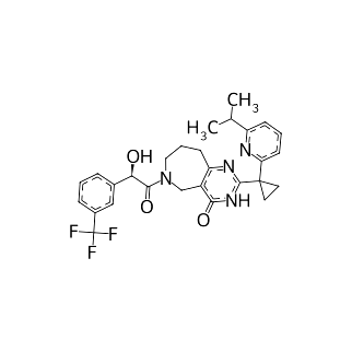 CC(C)c1cccc(C2(c3nc4c(c(=O)[nH]3)CN(C(=O)[C@H](O)c3cccc(C(F)(F)F)c3)CCC4)CC2)n1